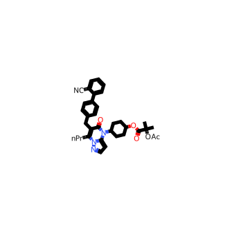 CCCc1c(Cc2ccc(-c3ccccc3C#N)cc2)c(=O)n(C2CCC(OC(=O)C(C)(C)OC(C)=O)CC2)c2ccnn12